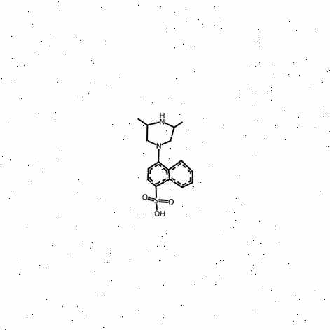 CC1CN(c2ccc(S(=O)(=O)O)c3ccccc23)CC(C)N1